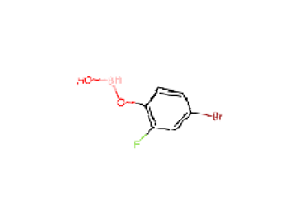 OBOc1ccc(Br)cc1F